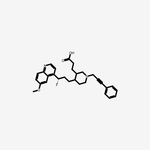 COc1ccc2nccc([C@@H](F)CCC3CCN(CC#Cc4ccccc4)CC3CCC(=O)O)c2c1